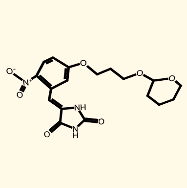 O=C1NC(=O)C(=Cc2cc(OCCCOC3CCCCO3)ccc2[N+](=O)[O-])N1